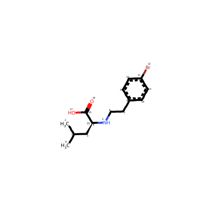 CC(C)C[C@H](NCCc1ccc(Br)cc1)C(=O)O